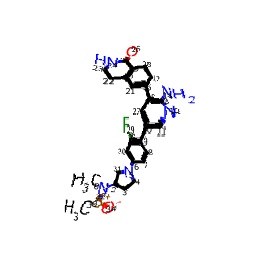 CN([C@@H]1CCN(c2ccc(-c3cnc(N)c(-c4ccc5c(c4)CCNC5=O)c3)c(F)c2)C1)[S+](C)[O-]